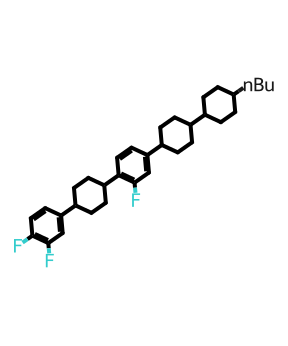 CCCCC1CCC(C2CCC(c3ccc(C4CCC(c5ccc(F)c(F)c5)CC4)c(F)c3)CC2)CC1